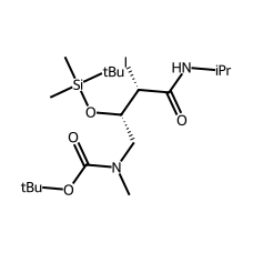 CC(C)NC(=O)[C@@H](I)[C@H](CN(C)C(=O)OC(C)(C)C)O[Si](C)(C)C(C)(C)C